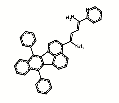 N/C(=C\C=C(/N)c1ccc2c3c(cccc13)-c1c-2c(-c2ccccc2)c2ccccc2c1-c1ccccc1)c1ccccn1